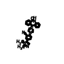 Cc1ncc(-c2ccc(N3CCN(C4c5ccccc5NC(=O)c5ccccc54)CC3)c(C#N)c2)n1C